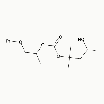 CC(O)CC(C)(C)OC(=O)OC(C)COC(C)C